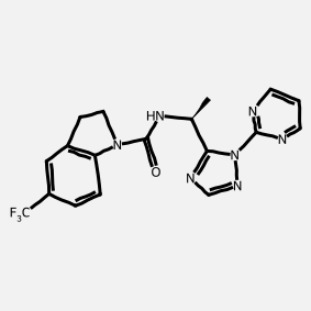 C[C@H](NC(=O)N1CCc2cc(C(F)(F)F)ccc21)c1ncnn1-c1ncccn1